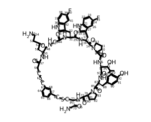 CC(C)[C@@H](O)[C@@H]1NC(=O)[C@@H]2CCCN2C(=O)[C@H](Cc2c[nH]c3ccc(F)cc23)NC(=O)[C@H](Cc2c[nH]c3ccc(F)cc23)NC(=O)CNC(=O)[C@H](CCCCN)NC(=O)CCSCc2cccc(c2)CSC[C@@H](C(N)=O)NC(=O)[C@]2(C)CCCN2C(=O)[C@H](Cc2ccc(O)cc2)NC1=O